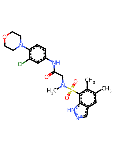 Cc1cc2cn[nH]c2c(S(=O)(=O)N(C)CC(=O)Nc2ccc(N3CCOCC3)c(Cl)c2)c1C